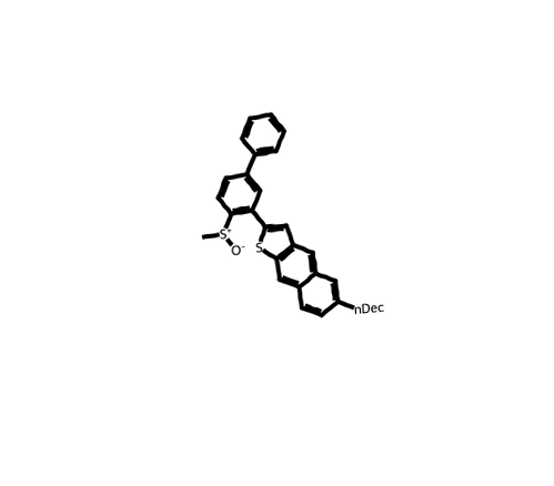 CCCCCCCCCCc1ccc2cc3sc(-c4cc(-c5ccccc5)ccc4[S+](C)[O-])cc3cc2c1